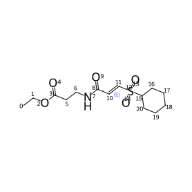 CCOC(=O)CCNC(=O)/C=C/S(=O)(=O)C1CCCCC1